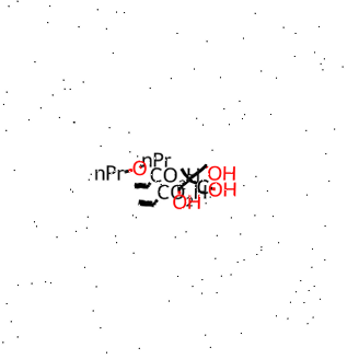 C=CC(=O)O.C=CC(=O)O.CC(CO)(CO)CO.CCCOCCC